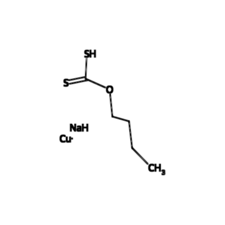 CCCCOC(=S)S.[Cu].[NaH]